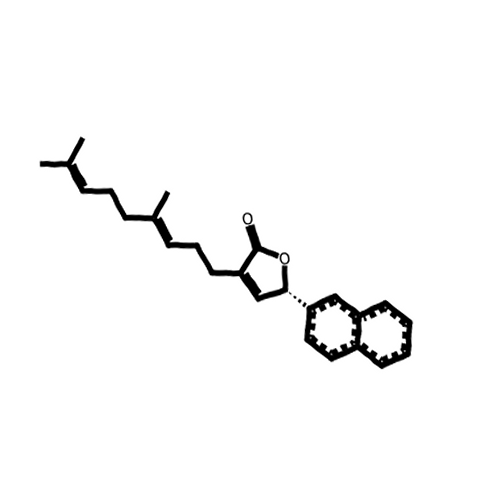 CC(C)=CCC/C(C)=C/CCC1=C[C@@H](c2ccc3ccccc3c2)OC1=O